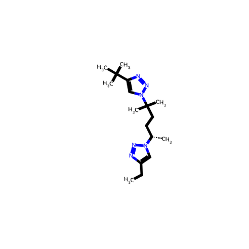 CCc1cn([C@@H](C)CCC(C)(C)n2cc(C(C)(C)C)nn2)nn1